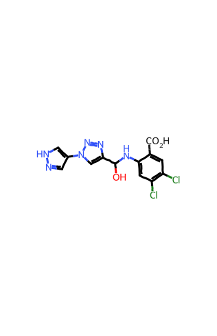 O=C(O)c1cc(Cl)c(Cl)cc1NC(O)c1cn(-c2cn[nH]c2)nn1